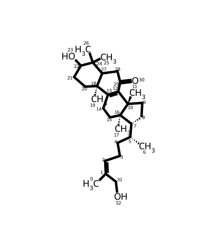 CC(=CCC[C@@H](C)[C@H]1CC[C@@]2(C)C3=C(CC[C@]12C)[C@@]1(C)CCC(O)C(C)(C)C1CC3=O)CO